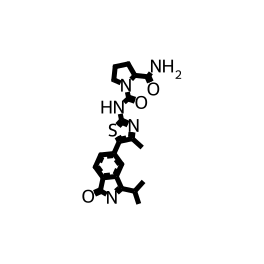 Cc1nc(NC(=O)N2CCCC2C(N)=O)sc1-c1ccc2c(c1)C(C(C)C)=NC2=O